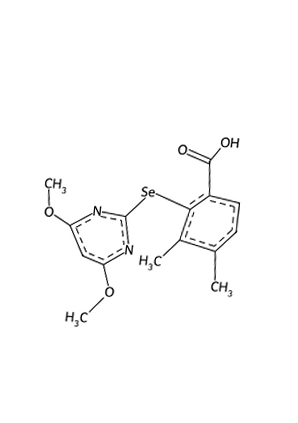 COc1cc(OC)nc([Se]c2c(C(=O)O)ccc(C)c2C)n1